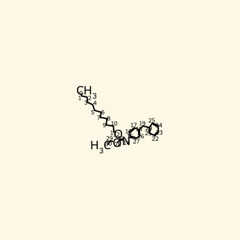 CCCCCCCCCCCCOC(=Nc1ccc(Cc2ccccc2)cc1)OCC